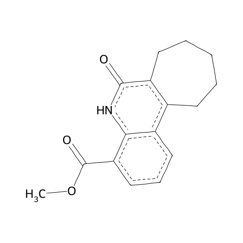 COC(=O)c1cccc2c3c(c(=O)[nH]c12)CCCCC3